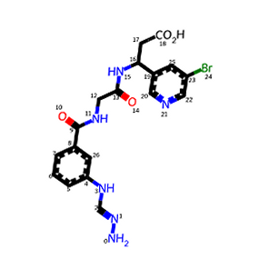 NN=CNc1cccc(C(=O)NCC(=O)NC(CC(=O)O)c2cncc(Br)c2)c1